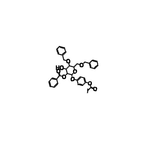 O=C(I)Oc1ccc(OC2OC(COCc3ccccc3)C(OCc3ccccc3)C(O)C2OC(=O)c2ccccc2)cc1